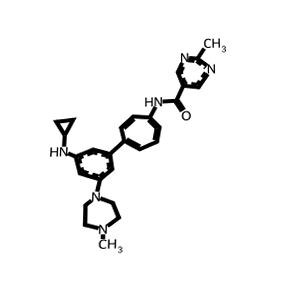 Cc1ncc(C(=O)NC2=C=CC=C(c3cc(NC4CC4)cc(N4CCN(C)CC4)c3)C=C2)cn1